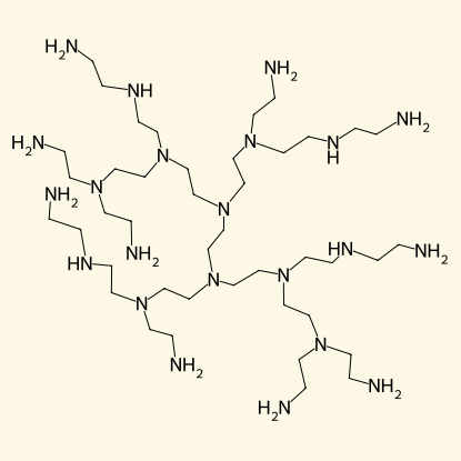 NCCNCCN(CCN)CCN(CCN(CCNCCN)CCN(CCN)CCN)CCN(CCN(CCN)CCNCCN)CCN(CCNCCN)CCN(CCN)CCN